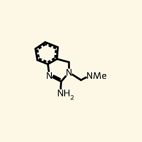 CNCN1Cc2ccccc2N=C1N